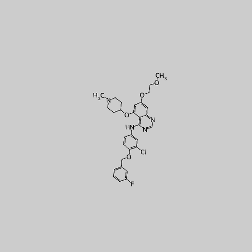 COCCOc1cc(OC2CCN(C)CC2)c2c(Nc3ccc(OCc4cccc(F)c4)c(Cl)c3)ncnc2c1